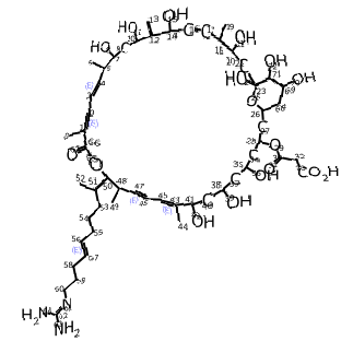 C/C1=C\C=C\C(C)C(O)CC(O)C(C)C(O)CCC(C)C(O)CC2(O)OC(CC(OC(=O)CC(=O)O)CC(O)CC(O)CC(O)/C(C)=C/C=C/C(C)C(C(C)CCC/C=C/CCCN=C(N)N)OC1=O)CC(O)C2O